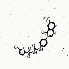 O=C(Nc1ccc(-n2cnc3ccc(C(F)(F)F)cc3c2=O)cc1)NS(=O)(=O)c1ccc(Cl)s1